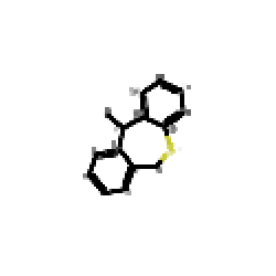 CC1c2ccccc2CSc2ccccc21